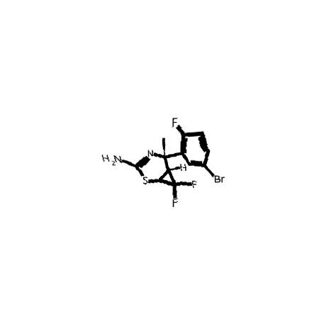 C[C@]1(c2cc(Br)ccc2F)N=C(N)SC2[C@H]1C2(F)F